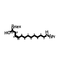 [CH2]CCNCCCCCCCC/C=C\CC(O)CCCCCC